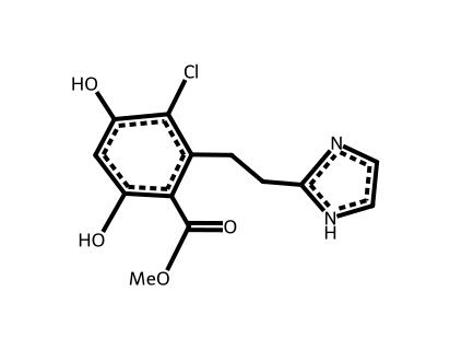 COC(=O)c1c(O)cc(O)c(Cl)c1CCc1ncc[nH]1